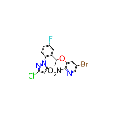 CC(Oc1cc(Br)cnc1[N+](=O)[O-])c1cc(F)ccc1-n1[c]cc(Cl)n1